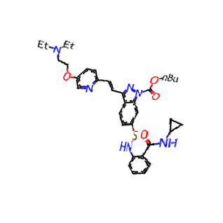 CCCCOC(=O)n1nc(/C=C/c2ccc(OCCN(CC)CC)cn2)c2ccc(SNc3ccccc3C(=O)NC3CC3)cc21